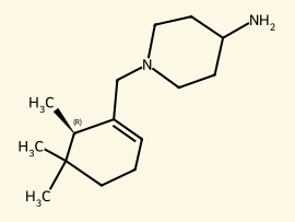 C[C@H]1C(CN2CCC(N)CC2)=CCCC1(C)C